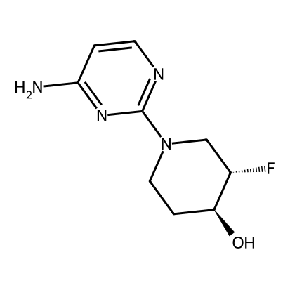 Nc1ccnc(N2CC[C@H](O)[C@@H](F)C2)n1